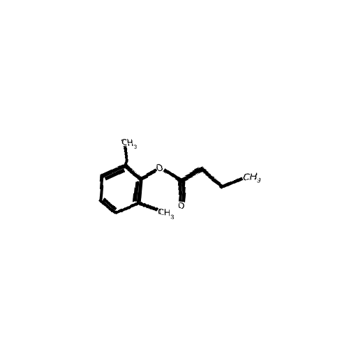 CCCC(=O)Oc1c(C)cccc1C